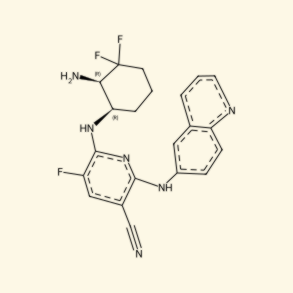 N#Cc1cc(F)c(N[C@@H]2CCCC(F)(F)[C@@H]2N)nc1Nc1ccc2ncccc2c1